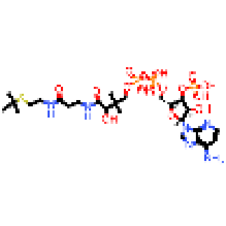 CC(C)(C)SCCNC(=O)CCNC(=O)C(O)C(C)(C)COP(=O)(O)OP(=O)(O)OC[C@H]1O[C@@H](n2cnc3c(N)ccnc32)[C@@H](O)C1OP(=O)(O)O